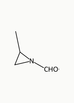 CC1CN1[C]=O